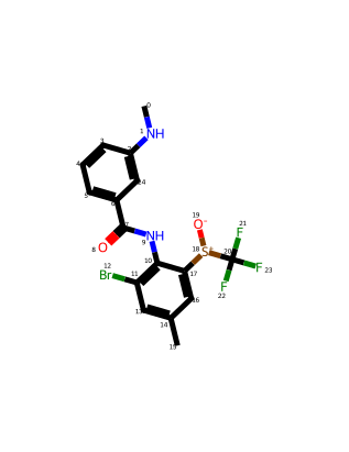 CNc1cccc(C(=O)Nc2c(Br)cc(C)cc2[S+]([O-])C(F)(F)F)c1